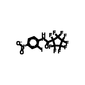 O=C(Nc1ccc([N+](=O)[O-])cc1I)C1(F)C(F)(F)C(F)(F)C(F)(F)C1(F)F